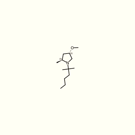 CCCCC(C)(C)N1C[C@@H](OC)C[C@@H]1C